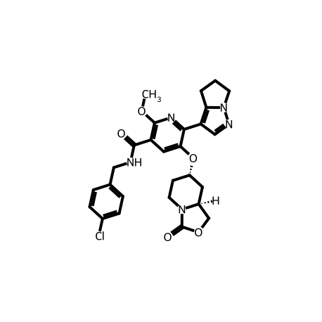 COc1nc(-c2cnn3c2CCC3)c(O[C@H]2CCN3C(=O)OC[C@@H]3C2)cc1C(=O)NCc1ccc(Cl)cc1